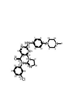 CN1CCN(c2ccc(Nc3ncc4c(n3)N3CCN=C3N(c3cccc(Cl)c3)C4=O)cc2)CC1